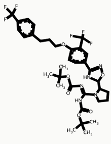 CC(C)(C)OC(=O)/N=C(\NC(=O)OC(C)(C)C)N1CCCC1C1NC(c2ccc(OCCCc3ccc(C(F)(F)F)cc3)c(C(F)(F)F)c2)=NO1